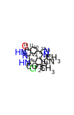 Cc1c(Cl)ccc(-c2c(-c3ccc4c(=O)[nH]nc(CNC(=O)O)c4c3)cnn2C)c1C#N